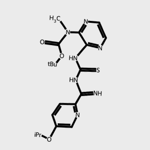 CC(C)Oc1ccc(C(=N)NC(=S)Nc2nccnc2N(C)C(=O)OC(C)(C)C)nc1